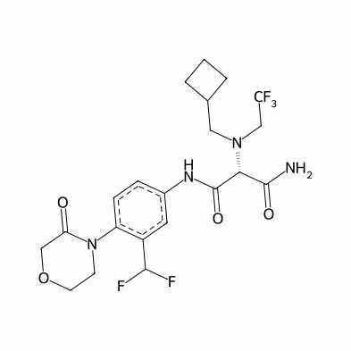 NC(=O)[C@H](C(=O)Nc1ccc(N2CCOCC2=O)c(C(F)F)c1)N(CC1CCC1)CC(F)(F)F